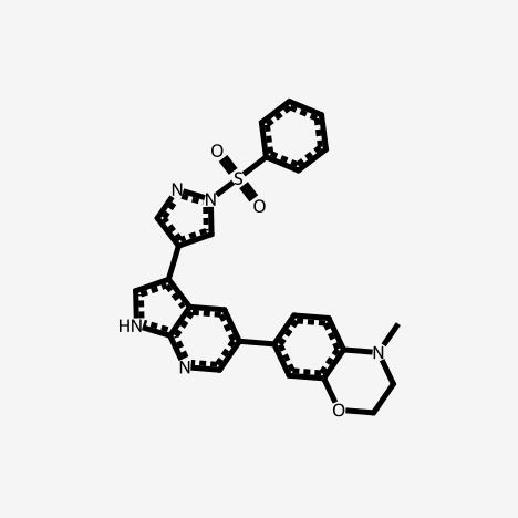 CN1CCOc2cc(-c3cnc4[nH]cc(-c5cnn(S(=O)(=O)c6ccccc6)c5)c4c3)ccc21